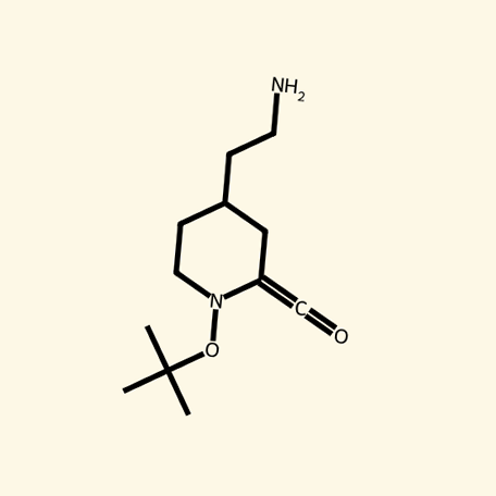 CC(C)(C)ON1CCC(CCN)CC1=C=O